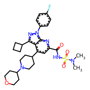 CN(C)S(=O)(=O)NC(=O)c1cc(C2CCN(C3CCOCC3)CC2)c2c(C3CCC3)nn(-c3ccc(F)cc3)c2n1